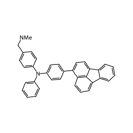 CNCc1ccc(N(c2ccccc2)c2ccc(-c3ccc4c5c(cccc35)-c3ccccc3-4)cc2)cc1